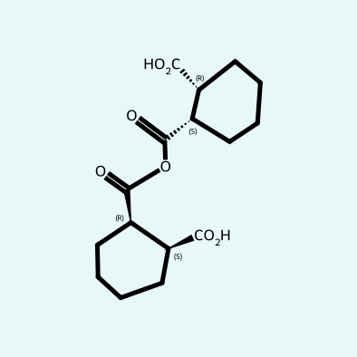 O=C(O)[C@H]1CCCC[C@H]1C(=O)OC(=O)[C@H]1CCCC[C@H]1C(=O)O